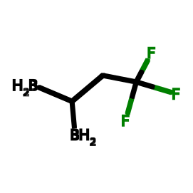 BC(B)CC(F)(F)F